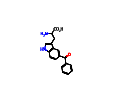 NC(Cc1c[nH]c2ccc(C(=O)c3ccccc3)cc12)C(=O)O